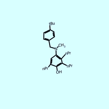 CCCc1cc(N(C)Cc2ccc(C(C)(C)C)cc2)c(CCC)c(CCC)c1O